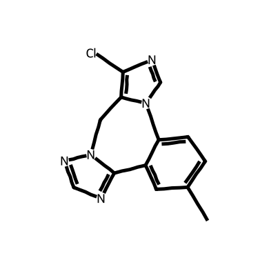 Cc1ccc2c(c1)-c1ncnn1Cc1c(Cl)ncn1-2